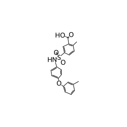 Cc1cccc(Oc2ccc(NS(=O)(=O)c3ccc(C)c(C(=O)O)c3)cc2)c1